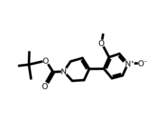 COc1c[n+]([O-])ccc1C1=CCN(C(=O)OC(C)(C)C)CC1